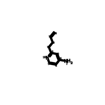 C=CCCc1cc(N)ccn1